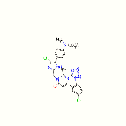 CC(C)c1nc(-c2cc(Cl)ccc2-n2cnnn2)cc(=O)n1Cc1nc(Cl)c(-c2ccc(N(C)C(=O)O)cc2)[nH]1